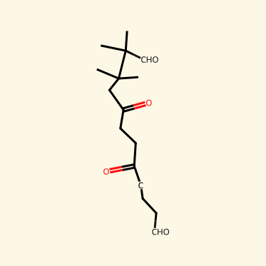 CC(C)(C=O)C(C)(C)CC(=O)CCC(=O)CCCC=O